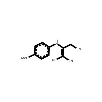 COc1ccc(NC(CC#N)=C(C#N)C#N)cc1